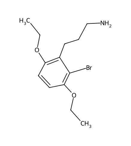 CCOc1ccc(OCC)c(CCCN)c1Br